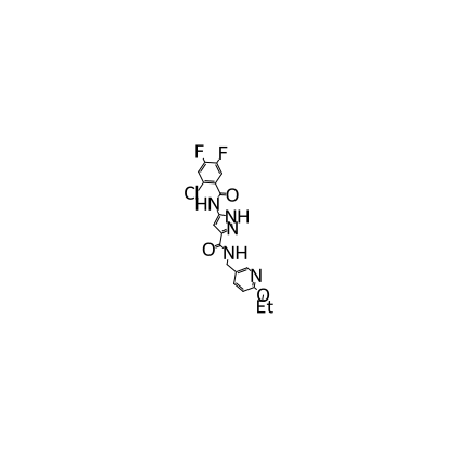 CCOc1ccc(CNC(=O)c2cc(NC(=O)c3cc(F)c(F)cc3Cl)[nH]n2)cn1